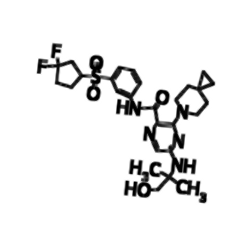 CC(C)(CO)Nc1cnc(C(=O)Nc2cccc(S(=O)(=O)C3CCC(F)(F)C3)c2)c(N2CCC3(CC2)CC3)n1